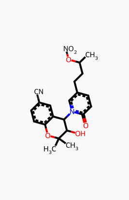 CC(CCc1ccc(=O)n(C2c3cc(C#N)ccc3OC(C)(C)C2O)c1)O[N+](=O)[O-]